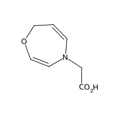 O=C(O)CN1C=CCOC=C1